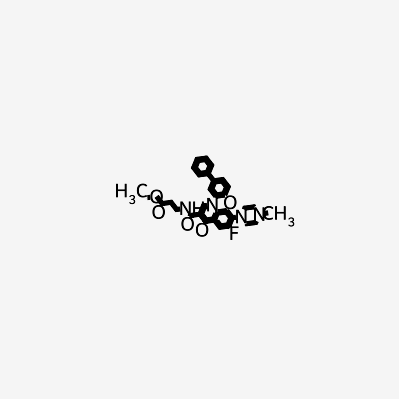 CCOC(=O)CCNC(=O)c1cn2c3c(c(N4CCN(C)CC4)c(F)cc3c1=O)Oc1ccc(-c3ccccc3)cc1-2